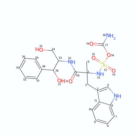 CC(Cc1c[nH]c2ccccc12)(NS(=O)(=O)OC(N)=O)C(=O)NC(CO)C(O)c1ccccc1